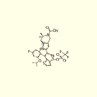 CC(C)Oc1cc(F)cc(F)c1-c1c(-c2cc3n(n2)C[C@@H](C)N(C(=O)O)C3)nc(OS(=O)(=O)C(F)(F)F)c2ccsc12